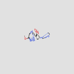 COc1cnc(-c2ccc(-n3ccnc3)cc2O)nn1